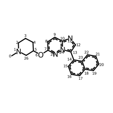 CN1CCCC(Oc2ccc3ncc(-c4cccc5ccccc45)n3n2)C1